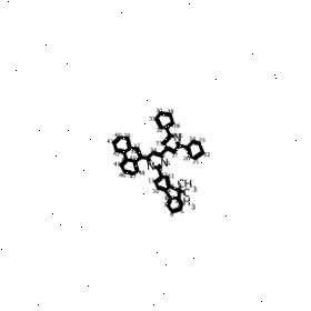 CC1(C)c2ccccc2-c2ccc(-c3nc(-c4cc(-c5ccccc5)nc(-c5ccccc5)c4)cc(-c4cc5ccccc5c5ccccc45)n3)cc21